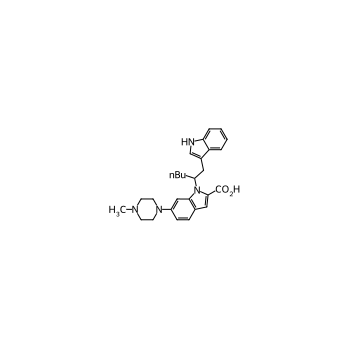 CCCCC(Cc1c[nH]c2ccccc12)n1c(C(=O)O)cc2ccc(N3CCN(C)CC3)cc21